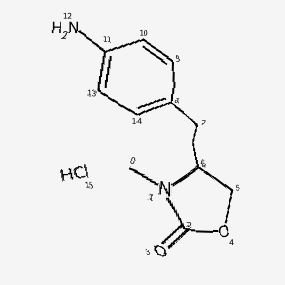 CN1C(=O)OCC1Cc1ccc(N)cc1.Cl